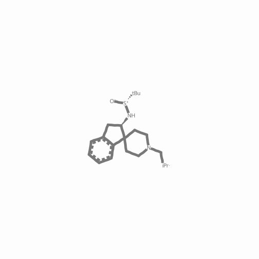 C[C](C)CN1CCC2(CC1)c1ccccc1C[C@H]2N[S@+]([O-])C(C)(C)C